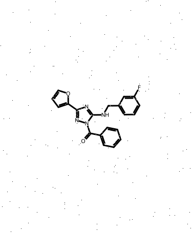 O=C(c1ccccc1)n1nc(-c2ccco2)nc1NCc1cccc(F)c1